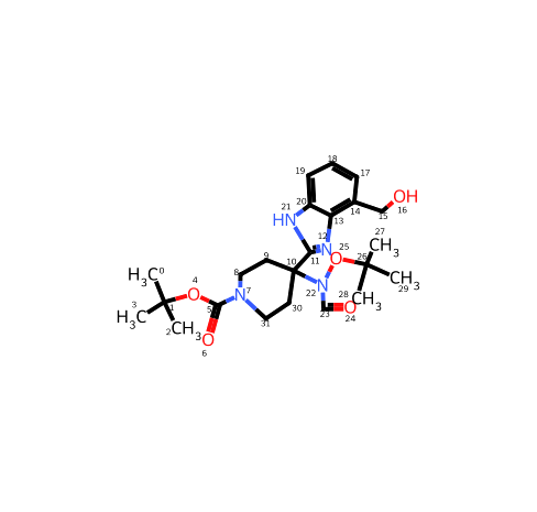 CC(C)(C)OC(=O)N1CCC(c2nc3c(CO)cccc3[nH]2)(N(C=O)OC(C)(C)C)CC1